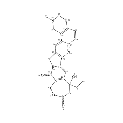 CCC1(O)CC(=O)OCc2c1cc1n(c2=O)Cc2cc3c4c(ccc3nc2-1)OCN(C)C4